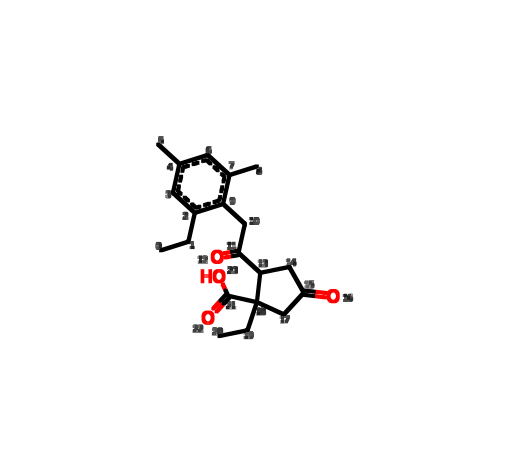 CCc1cc(C)cc(C)c1CC(=O)C1CC(=O)CC1(CC)C(=O)O